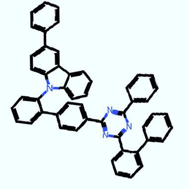 c1ccc(-c2ccc3c(c2)c2ccccc2n3-c2ccccc2-c2ccc(-c3nc(-c4ccccc4)nc(-c4ccccc4-c4ccccc4)n3)cc2)cc1